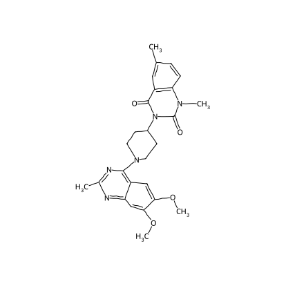 COc1cc2nc(C)nc(N3CCC(n4c(=O)c5cc(C)ccc5n(C)c4=O)CC3)c2cc1OC